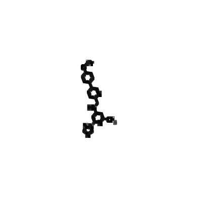 CC(C)Oc1ccc(-c2ccc(CNc3cc(-n4cncn4)nc(C(F)(F)F)c3)nc2)cc1